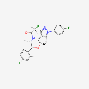 Cc1cc(F)ccc1[C@H](Oc1ccc2c(cnn2-c2ccc(F)cc2)c1)[C@H](C)NC(=O)C(C)(C)F